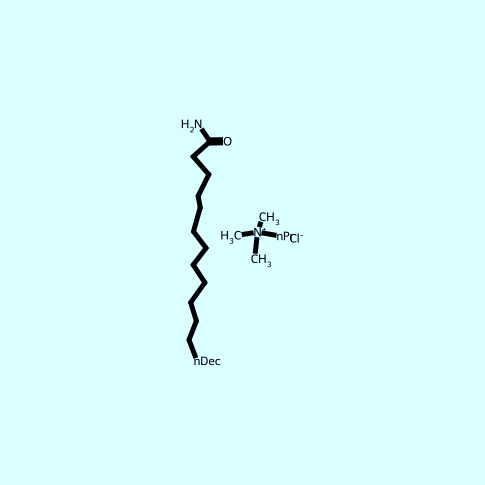 CCCCCCCCCCCCCCCCCCCCCC(N)=O.CCC[N+](C)(C)C.[Cl-]